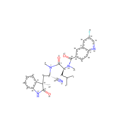 CC(C)C[C@@H](C(=O)N(C)[C@H](C#N)C[C@@]1(C)C(=O)Nc2ccccc21)N(C)C(=O)c1ccc2ncc(F)cc2c1